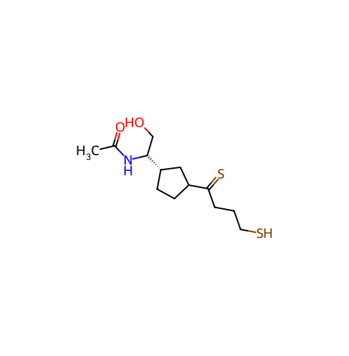 CC(=O)NC(CO)[C@H]1CCC(C(=S)CCCS)C1